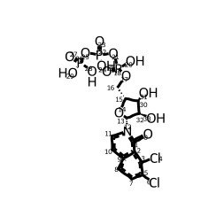 O=c1c2c(Cl)c(Cl)ccc2ccn1[C@@H]1O[C@H](COP(=O)(O)OP(=O)(O)OP(=O)(O)O)[C@@H](O)[C@H]1O